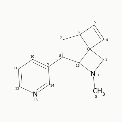 CN1CC23C=CC2CC(c2cccnc2)C13